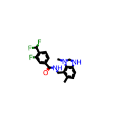 Cc1ccc2c(c1CNC(=O)c1ccc(C(F)F)c(F)c1)N(C)CN2